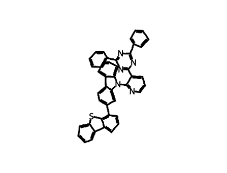 c1ccc(-c2nc(-c3ccccc3)nc(-c3cccnc3-n3c4ccccc4c4ccc(-c5cccc6c5sc5ccccc56)cc43)n2)cc1